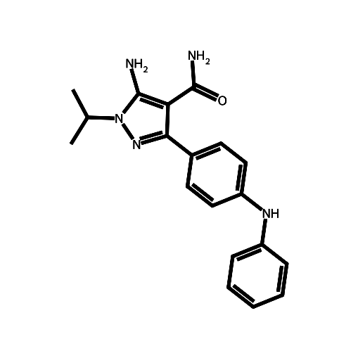 CC(C)n1nc(-c2ccc(Nc3ccccc3)cc2)c(C(N)=O)c1N